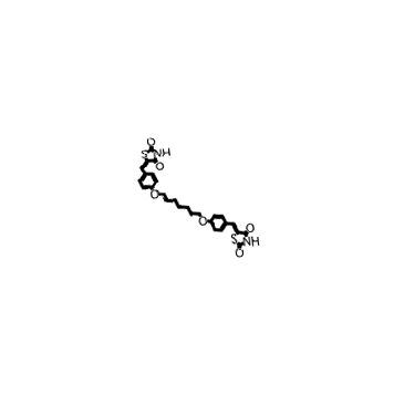 O=C1NC(=O)C(=Cc2ccc(OCCCCCCCOc3ccc(C=C4SC(=O)NC4=O)cc3)cc2)S1